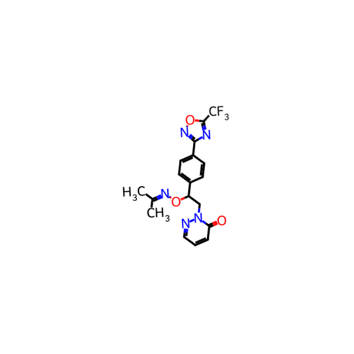 CC(C)=NOC(Cn1ncccc1=O)c1ccc(-c2noc(C(F)(F)F)n2)cc1